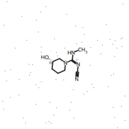 CN/C(=N/C#N)N1CCC[C@H](O)C1